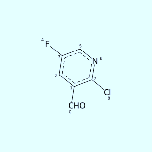 O=Cc1cc(F)cnc1Cl